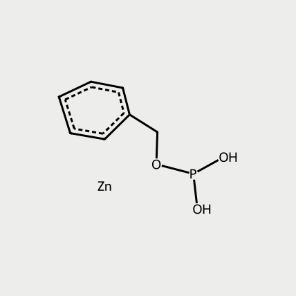 OP(O)OCc1ccccc1.[Zn]